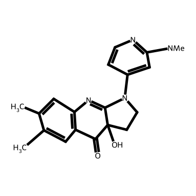 CNc1cc(N2CCC3(O)C(=O)c4cc(C)c(C)cc4N=C23)ccn1